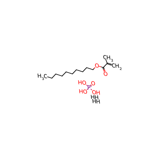 C=C(C)C(=O)OCCCCCCCCCC.O=P(O)(O)O.[HH].[HH]